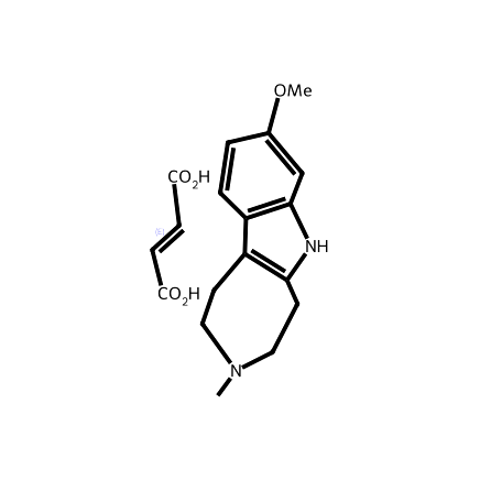 COc1ccc2c3c([nH]c2c1)CCN(C)CC3.O=C(O)/C=C/C(=O)O